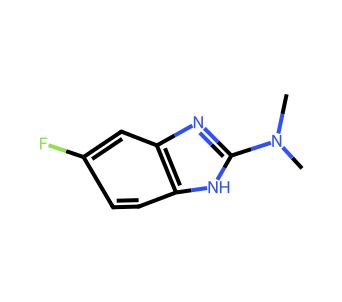 CN(C)c1nc2cc(F)ccc2[nH]1